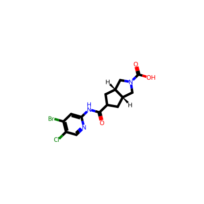 O=C(Nc1cc(Br)c(Cl)cn1)C1C[C@@H]2CN(C(=O)O)C[C@@H]2C1